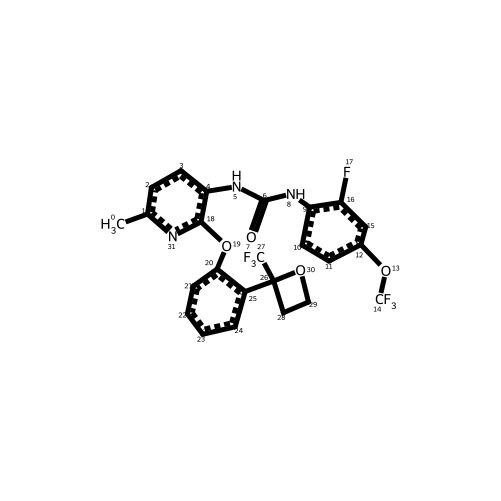 Cc1ccc(NC(=O)Nc2ccc(OC(F)(F)F)cc2F)c(Oc2ccccc2C2(C(F)(F)F)CCO2)n1